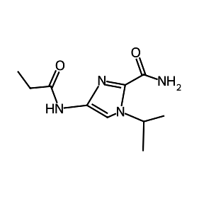 CCC(=O)Nc1cn(C(C)C)c(C(N)=O)n1